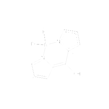 CC1=C2C=CC=[N+]2[B-](F)(F)n2cccc21